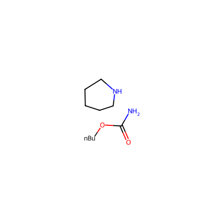 C1CCNCC1.CCCCOC(N)=O